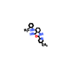 Cc1ccc(C(=O)NC2CCCC(Nc3ccccc3C)=C2C=N)nc1